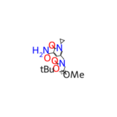 CO[C@@H](C)CN(Cc1cc(C(N)=O)c(=O)n(C2CC2)c1)C(=O)OC(C)(C)C